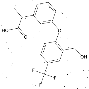 CC(C(=O)O)c1cccc(Oc2ccc(C(F)(F)F)cc2CO)c1